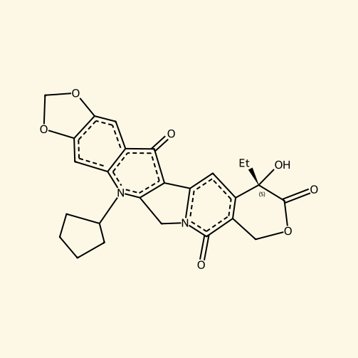 CC[C@@]1(O)C(=O)OCc2c1cc1n(c2=O)Cc2c-1c(=O)c1cc3c(cc1n2C1CCCC1)OCO3